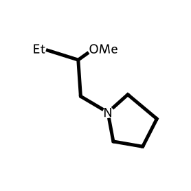 CCC(CN1CCCC1)OC